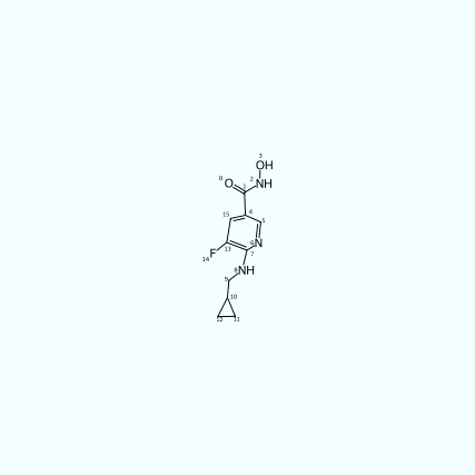 O=C(NO)c1cnc(NCC2CC2)c(F)c1